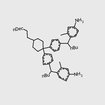 CCCCCCCCCCCCC1CCC(c2ccc(C(CCCC)c3ccc(N)cc3C)cc2)(c2ccc(C(CCCC)c3ccc(N)cc3C)cc2)CC1